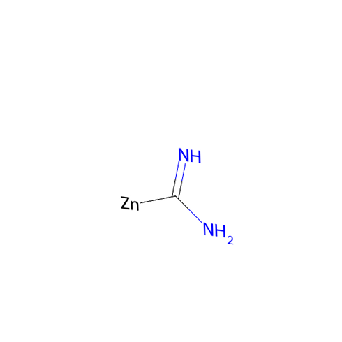 N=[C](N)[Zn]